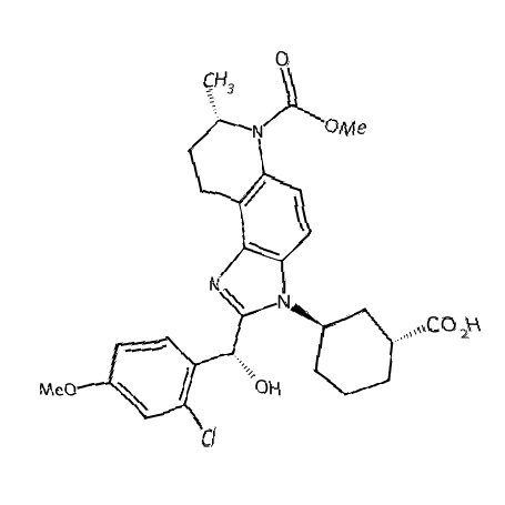 COC(=O)N1c2ccc3c(nc([C@H](O)c4ccc(OC)cc4Cl)n3[C@@H]3CCC[C@@H](C(=O)O)C3)c2CC[C@@H]1C